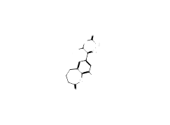 Cc1cc(C2=NNC(=O)SC2C)cc2c1NC(=O)CCC2